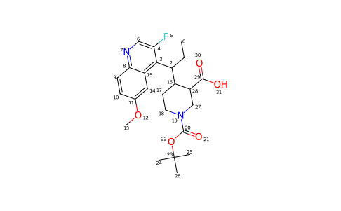 CCC(c1c(F)cnc2ccc(OC)cc12)C1CCN(C(=O)OC(C)(C)C)CC1C(=O)O